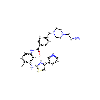 Cc1ccc(NC(=O)c2ccc(CN3CCN(CCN)CC3)cc2)cc1Nc1nc(-c2cccnc2)cs1